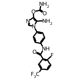 NC(=O)Oc1ncn(-c2ccc(NC(=O)c3cc(C(F)(F)F)ccc3F)cc2)c1N